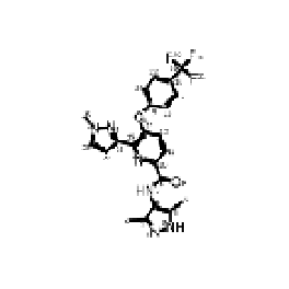 Cc1n[nH]c(C)c1NC(=O)c1ccc(Oc2ccc(C(F)(F)F)cc2)c(-c2ccn(C)n2)n1